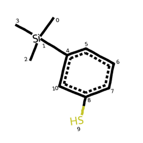 C[Si](C)(C)c1cccc(S)c1